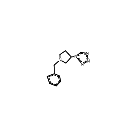 c1ccc(CN2CCC(n3cnnn3)C2)cc1